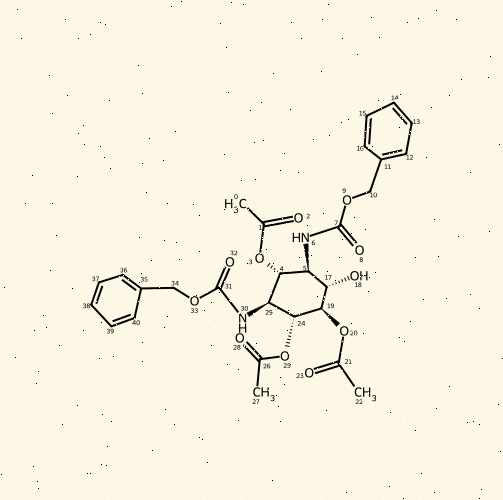 CC(=O)O[C@@H]1[C@@H](NC(=O)OCc2ccccc2)[C@H](O)[C@@H](OC(C)=O)[C@H](OC(C)=O)[C@H]1NC(=O)OCc1ccccc1